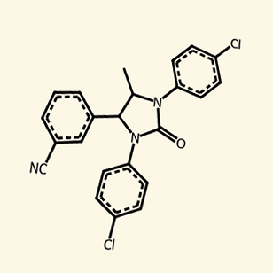 CC1C(c2cccc(C#N)c2)N(c2ccc(Cl)cc2)C(=O)N1c1ccc(Cl)cc1